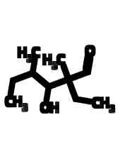 CCC(C)C(O)C(C)(C=O)CC